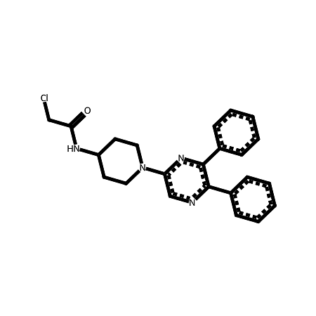 O=C(CCl)NC1CCN(c2cnc(-c3ccccc3)c(-c3ccccc3)n2)CC1